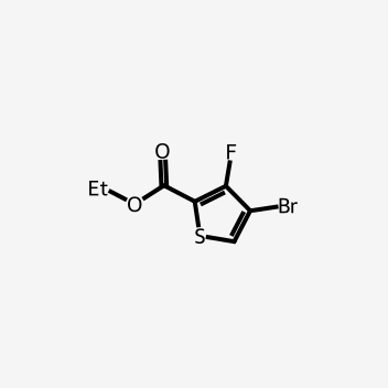 CCOC(=O)c1scc(Br)c1F